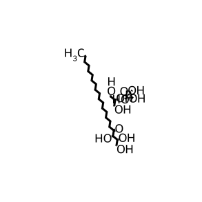 CCCCCCCCCCCCCCCCCC(=O)C(O)C(O)CO.O=P(O)(O)O.OCC(O)CO